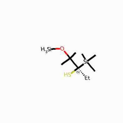 CC[C@](S)(C(C)(C)O[SiH3])[Si](C)(C)C